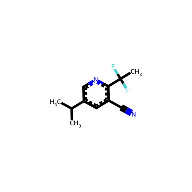 CC(C)c1cnc(C(C)(F)F)c(C#N)c1